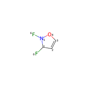 FC1C=CON1F